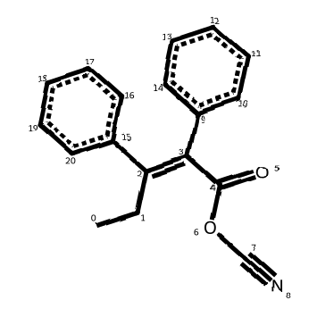 CCC(=C(C(=O)OC#N)c1ccccc1)c1ccccc1